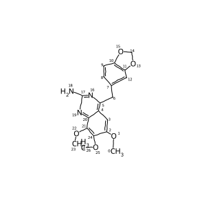 COc1cc2c(Cc3ccc4c(c3)OCO4)nc(N)nc2c(OC)c1OC